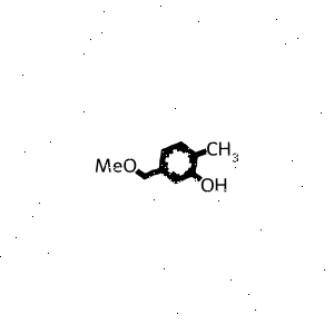 COCc1ccc(C)c(O)c1